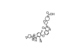 N#Cc1c(NS(=O)(=O)N2CCC3(CC3)C2)ccc(F)c1Oc1ccc2ncn(C3COC4(CCN(C(=O)O)CC4)C3)c(=O)c2c1